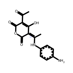 CC(=O)C1=C(O)/C(=C(\C)Nc2ccc(N)cc2)C(=O)OC1=O